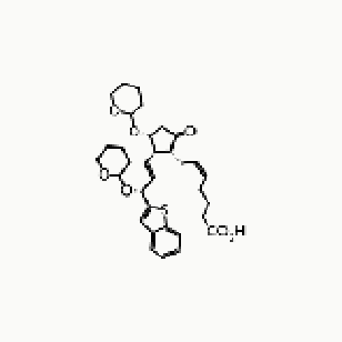 O=C(O)CCC/C=C\C[C@H]1C(=O)C[C@@H](OC2CCCCO2)[C@@H]1/C=C/[C@@H](OC1CCCCO1)c1cc2ccccc2s1